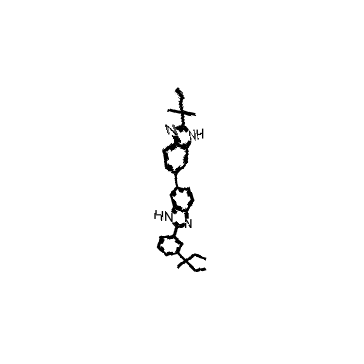 CCC(C)(C)c1nc2ccc(-c3ccc4nc(-c5cccc(C(C)(CC)CC)c5)[nH]c4c3)cc2[nH]1